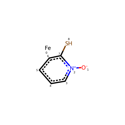 [Fe].[O-][n+]1ccccc1S